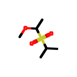 COC(C)S(=O)(=O)C(C)C